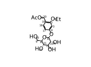 CCOc1cc(O[C@@H]2O[C@H](CO)[C@@H](O)[C@H](O)[C@H]2O)ccc1COC(C)=O